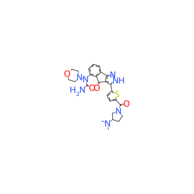 CN(C)C1CCN(C(=O)c2ccc(-c3[nH]nc4c3C(=O)c3c-4cccc3N(C(N)=O)N3CCOCC3)s2)C1